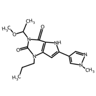 CCCn1c(=O)n(C(C)OC)c(=O)c2[nH]c(-c3cnn(C)c3)cc21